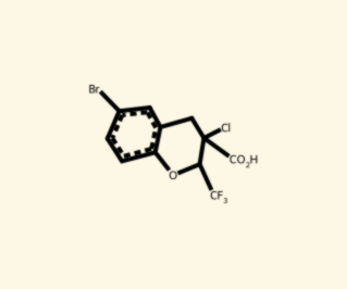 O=C(O)C1(Cl)Cc2cc(Br)ccc2OC1C(F)(F)F